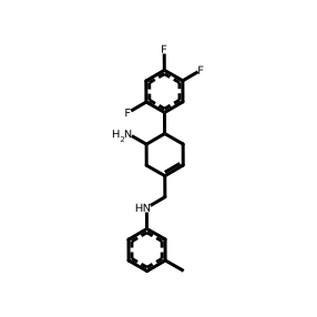 Cc1cccc(NCC2=CCC(c3cc(F)c(F)cc3F)C(N)C2)c1